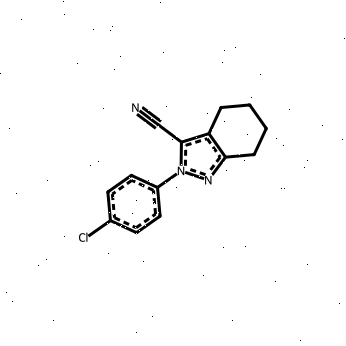 N#Cc1c2c(nn1-c1ccc(Cl)cc1)CCCC2